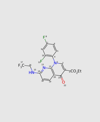 CCOC(=O)c1cn(-c2ccc(F)cc2F)c2nc(NCC(F)(F)F)ccc2c1=O